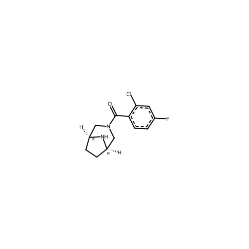 O=C(c1ccc(F)cc1Cl)N1C[C@H]2CC[C@@H](C1)N2